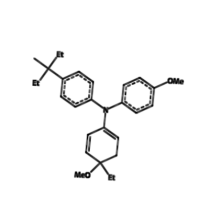 CCC1(OC)C=CC(N(c2ccc(OC)cc2)c2ccc(C(C)(CC)CC)cc2)=CC1